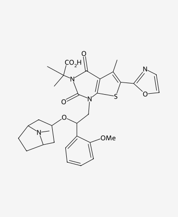 COc1ccccc1C(Cn1c(=O)n(C(C)(C)C(=O)O)c(=O)c2c(C)c(-c3ncco3)sc21)OC1CC2CCC(C1)N2C